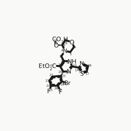 CCOC(=O)C1=C(CN2CCOC[C@@H]2OC(=O)O)NC(c2nccs2)=N[C@H]1c1ccc(F)c(F)c1Br